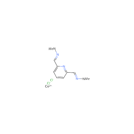 CNN=Cc1cccc(C=NNC)n1.[Cl-].[Cl-].[Co+2]